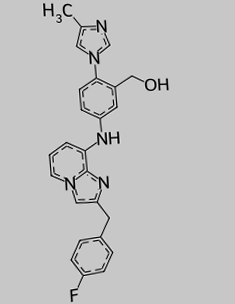 Cc1cn(-c2ccc(Nc3cccn4cc(Cc5ccc(F)cc5)nc34)cc2CO)cn1